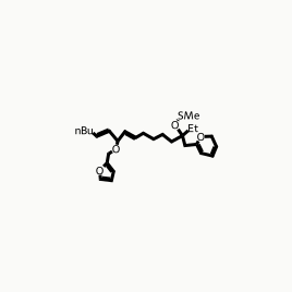 CCCCC=CC(C=CCCCCC(CC)(CC1=CC=CCO1)OSC)OCc1ccco1